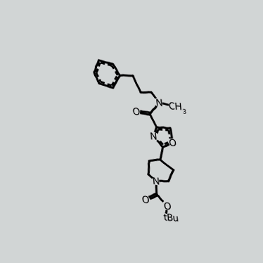 CN(CCCc1ccccc1)C(=O)c1coc(C2CCN(C(=O)OC(C)(C)C)CC2)n1